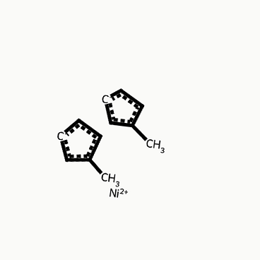 Cc1cc[cH-]c1.Cc1cc[cH-]c1.[Ni+2]